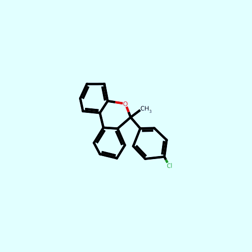 CC1(c2ccc(Cl)cc2)Oc2ccccc2-c2ccccc21